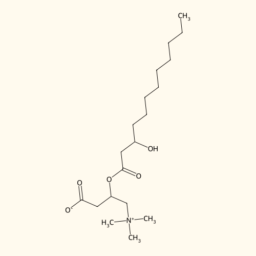 CCCCCCCCCC(O)CC(=O)OC(CC(=O)[O-])C[N+](C)(C)C